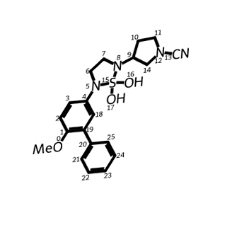 COc1ccc(N2CCN(C3CCN(C#N)C3)S2(O)O)cc1-c1ccccc1